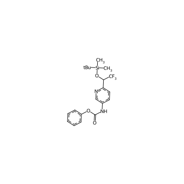 CC(C)(C)[Si](C)(C)OC(c1ccc(NC(=O)Oc2ccccc2)cn1)C(F)(F)F